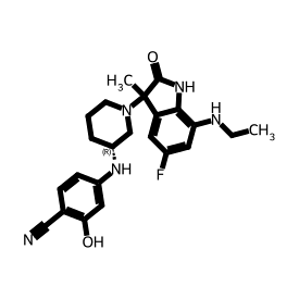 CCNc1cc(F)cc2c1NC(=O)C2(C)N1CCC[C@@H](Nc2ccc(C#N)c(O)c2)C1